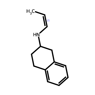 C/C=C\NC1CCc2ccccc2C1